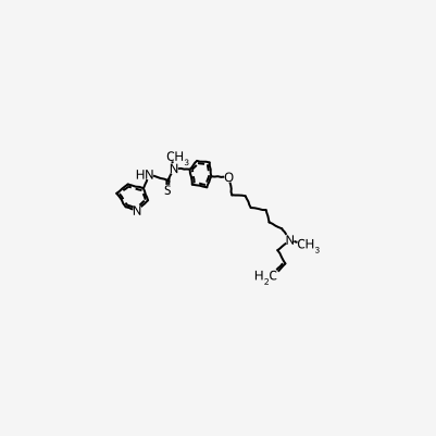 C=CCN(C)CCCCCCOc1ccc(N(C)C(=S)Nc2cccnc2)cc1